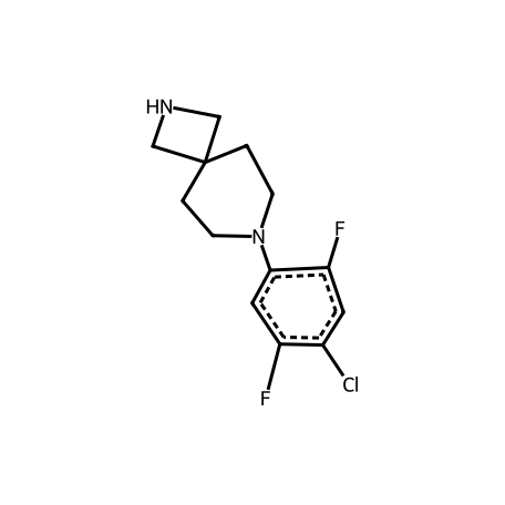 Fc1cc(N2CCC3(CC2)CNC3)c(F)cc1Cl